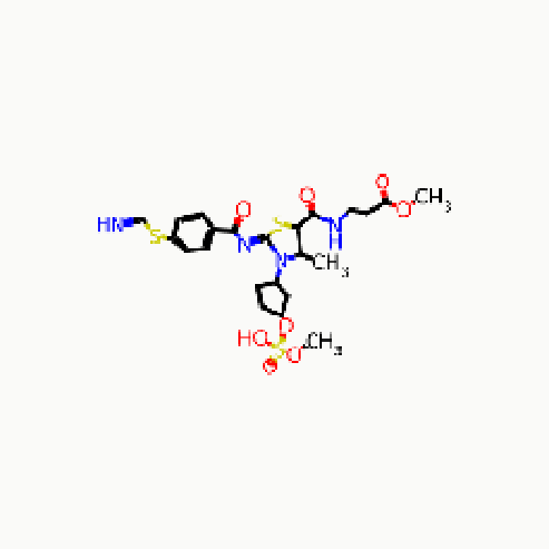 COC(=O)CCNC(=O)C1SC(=NC(=O)c2ccc(SC=N)cc2)N(C2CCCC2)C1C.COS(=O)(=O)O